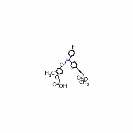 Cc1cc(OC/C=C(/c2ccc(F)cc2)c2ccc(C#CCS(C)(=O)=O)cc2)ccc1OCC(=O)O